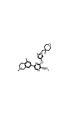 Cc1cc(-c2cnc(N)c(Oc3cnn(CC4(F)CCOCC4)c3)n2)cc2c1CCN(C)C2